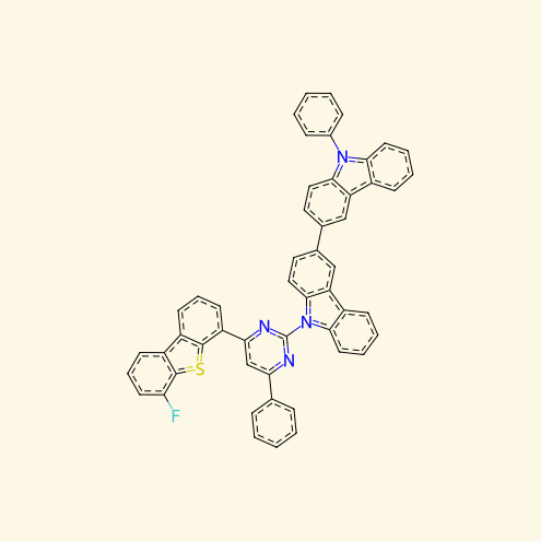 Fc1cccc2c1sc1c(-c3cc(-c4ccccc4)nc(-n4c5ccccc5c5cc(-c6ccc7c(c6)c6ccccc6n7-c6ccccc6)ccc54)n3)cccc12